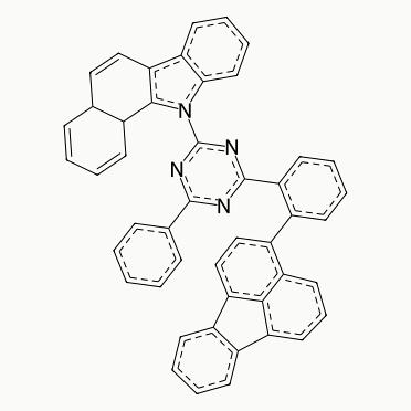 C1=CC2C=Cc3c(n(-c4nc(-c5ccccc5)nc(-c5ccccc5-c5ccc6c7c(cccc57)-c5ccccc5-6)n4)c4ccccc34)C2C=C1